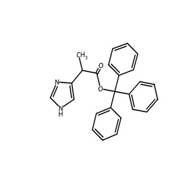 CC(C(=O)OC(c1ccccc1)(c1ccccc1)c1ccccc1)c1c[nH]cn1